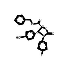 O=C(NCc1ccccc1)[C@H]1OC(=O)N(c2ccc(F)cc2)[C@@H]1c1ccc(O)cc1